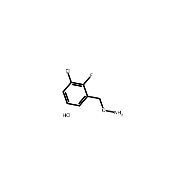 Cl.NOCc1cccc(Cl)c1F